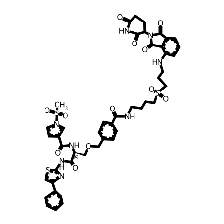 CS(=O)(=O)n1ccc(C(=O)N[C@@H](COCc2ccc(C(=O)NCCCCS(=O)(=O)CCCNc3cccc4c3C(=O)N(C3CCC(=O)NC3=O)C4=O)cc2)C(=O)Nc2nc(-c3ccccc3)cs2)c1